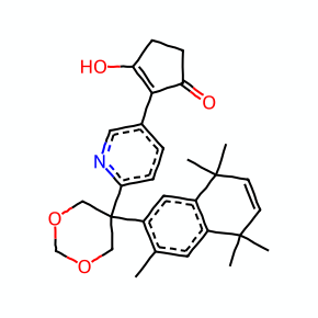 Cc1cc2c(cc1C1(c3ccc(C4=C(O)CCC4=O)cn3)COCOC1)C(C)(C)C=CC2(C)C